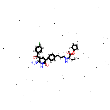 CC(C)C[C@H](NCCCc1ccc(-c2cc(C(=O)c3ccc(F)cc3)c(N)[nH]c2=O)cc1)C(=O)OC1CCCC1